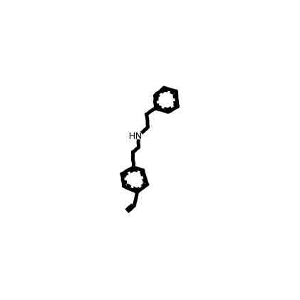 C=Cc1ccc(CCNCCc2ccccc2)cc1